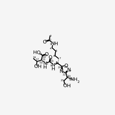 CC(=O)NCCCC[C@@H](NC(=O)N[C@H](C(=O)O)C(C)O)c1nc([C@@H](N)CO)no1